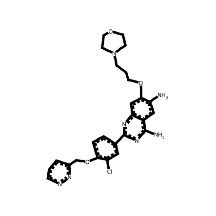 Nc1cc2c(N)nc(-c3ccc(OCc4cccnn4)c(Cl)c3)nc2cc1OCCCN1CCOCC1